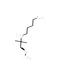 CC(C)(C=NO)NCCCCN